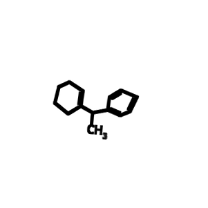 CC(C1=CCCCC1)c1ccccc1